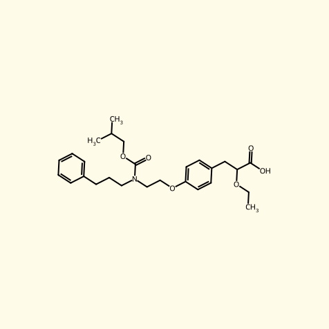 CCOC(Cc1ccc(OCCN(CCCc2ccccc2)C(=O)OCC(C)C)cc1)C(=O)O